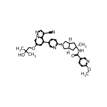 COc1ccc(C(=O)N[C@@]2(C)C[C@H]3CN(c4ccc(-c5cc(OCC(C)(C)O)cn6ncc(C#N)c56)cn4)C[C@H]3C2)cn1